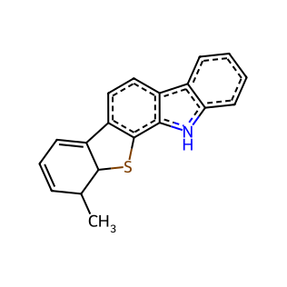 CC1C=CC=C2c3ccc4c([nH]c5ccccc54)c3SC21